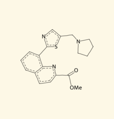 COC(=O)c1ccc2cccc(-c3ncc(CN4CCCC4)s3)c2n1